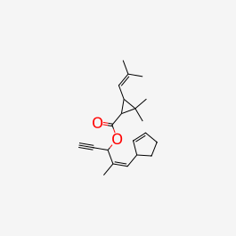 C#CC(OC(=O)C1C(C=C(C)C)C1(C)C)C(C)=CC1C=CCC1